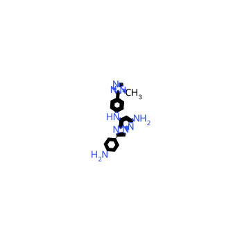 Cn1cnnc1-c1ccc(Nc2cc(N)nn3cc([C@H]4CC[C@H](N)CC4)nc23)cc1